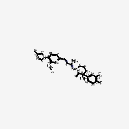 C=C1N(/N=C(N)/C=C/c2ccc(-n3cnc(C)c3)c(OC)n2)CCCC1(O)c1ccc(F)c(F)c1